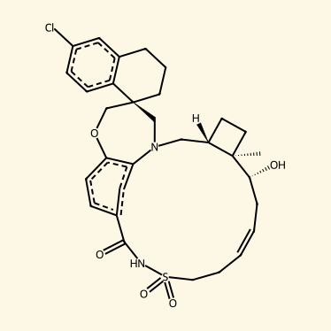 C[C@@]12CC[C@H]1CN1C[C@@]3(CCCc4cc(Cl)ccc43)COc3ccc(cc31)C(=O)NS(=O)(=O)CC/C=C\C[C@H]2O